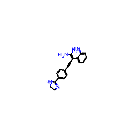 NC(N)=C(C#Cc1ccc(C2=NCCN2)cc1)c1ccccc1N